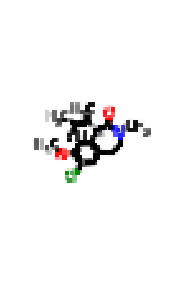 COc1cc2c(cc1Cl)CCN(C)C(=O)[C@@H]2C(C)=C(C)C